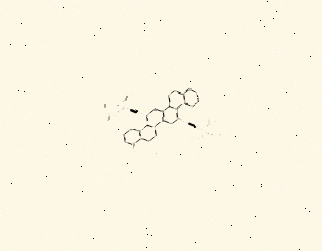 CCCCCCc1cccc2c1ccc1c3cc(C#C[Si](C(C)C)(C(C)C)C(C)C)c4c5ccccc5ccc4c3cc(C#C[Si](C(C)C)(C(C)C)C(C)C)c21